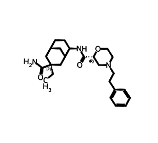 CC[C@@]1(C(N)=O)CC2CCC(NC(=O)[C@H]3CN(CCc4ccccc4)CCO3)C(C2)C1